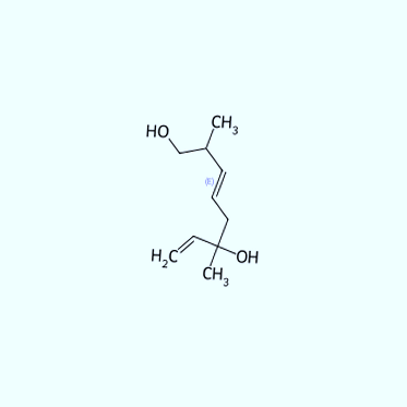 C=CC(C)(O)C/C=C/C(C)CO